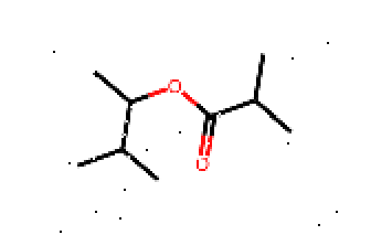 CC(C)C(=O)OC(C)C(C)C